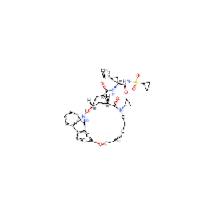 C=C[C@@H]1C[C@]1(NC(=O)[C@@H]1C[C@@H]2C[C@H]1C(=O)N(C1CC1)CCC/C=C\COc1ccc3c(c1)/C(=N/O2)c1ccccc1-3)C(=O)NS(=O)(=O)C1CC1